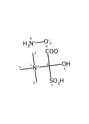 C[N+](C)(C)C(O)(C(=O)[O-])S(=O)(=O)O.[NH3+][O-]